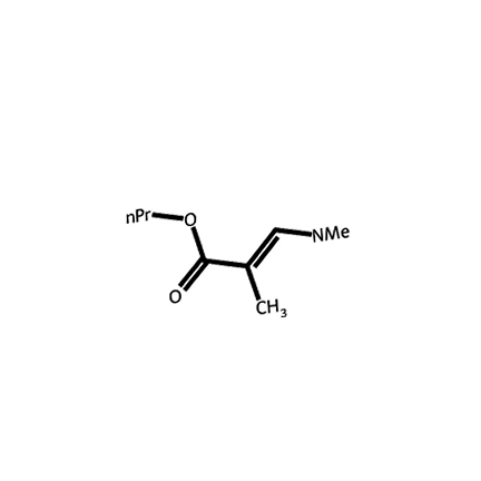 CCCOC(=O)C(C)=CNC